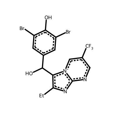 CCc1nc2ncc(C(F)(F)F)cn2c1C(O)c1cc(Br)c(O)c(Br)c1